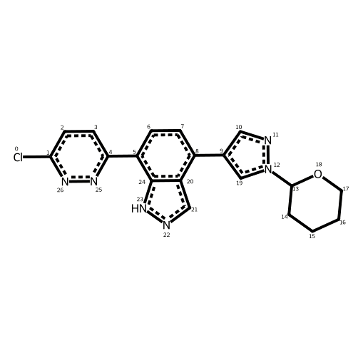 Clc1ccc(-c2ccc(-c3cnn(C4CCCCO4)c3)c3cn[nH]c23)nn1